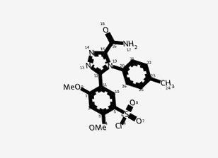 COc1cc(OC)c(S(=O)(=O)Cl)cc1-c1nnc(C(N)=O)n1-c1ccc(C)cc1